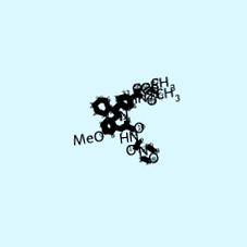 COc1ccc2c(c1)C=C(C(=O)NCC(=O)N1CCOCC1)Cn1c-2c(C2CCCCC2)c2ccc(C(=O)NS(=O)(=O)N(C)C)cc21